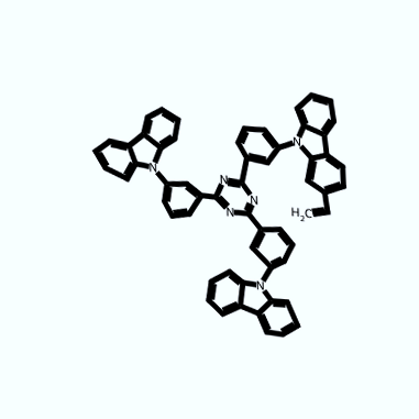 C=Cc1ccc2c3ccccc3n(-c3cccc(-c4nc(-c5cccc(-n6c7ccccc7c7ccccc76)c5)nc(-c5cccc(-n6c7ccccc7c7ccccc76)c5)n4)c3)c2c1